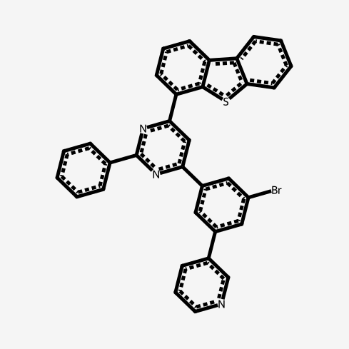 Brc1cc(-c2cccnc2)cc(-c2cc(-c3cccc4c3sc3ccccc34)nc(-c3ccccc3)n2)c1